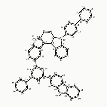 C1=CC2C(c3ccccc3N2c2ccc(-c3ccccc3)cc2)c2c1oc1ccc(-c3nc(-c4ccccc4)nc(-c4ccc5c(c4)sc4ccccc45)n3)cc21